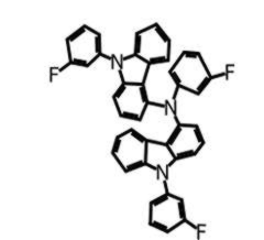 Fc1cccc(N(c2cccc3c2c2ccccc2n3-c2cccc(F)c2)c2cccc3c2c2ccccc2n3-c2cccc(F)c2)c1